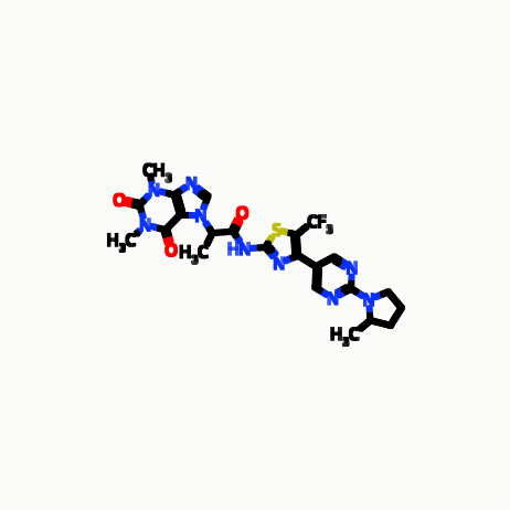 CC1CCCN1c1ncc(-c2nc(NC(=O)C(C)n3cnc4c3c(=O)n(C)c(=O)n4C)sc2C(F)(F)F)cn1